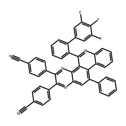 N#Cc1ccc(-c2nc3cc(-c4ccccc4)c4c5ccccc5nc(-c5ccccc5-c5cc(F)c(F)c(F)c5)c4c3nc2-c2ccc(C#N)cc2)cc1